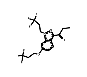 CCC(=O)c1nn(CCC(F)(F)F)c2cc(OCCC(F)(F)F)ccc12